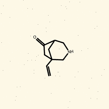 C=CC12CNCC(C1)C(=O)C2